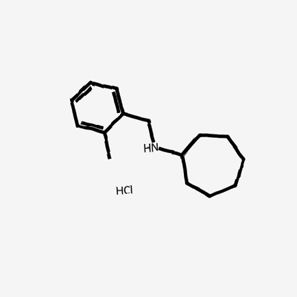 Cc1ccccc1CNC1CCCCCC1.Cl